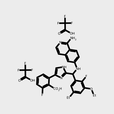 CCOc1cc(CC)cc(C(Nc2ccc3c(N)nccc3c2)c2nc(-c3cccc(F)c3C(=O)O)c[nH]2)c1F.O=C(O)C(F)(F)F.O=C(O)C(F)(F)F